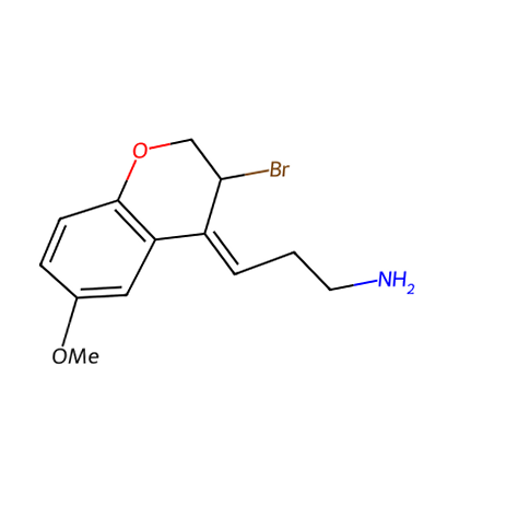 COc1ccc2c(c1)C(=CCCN)C(Br)CO2